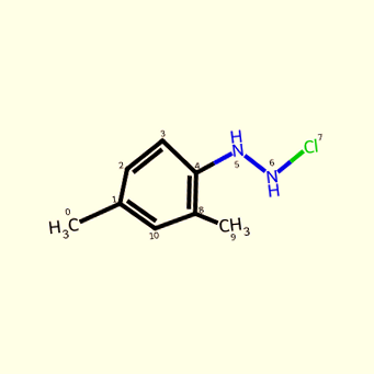 Cc1ccc(NNCl)c(C)c1